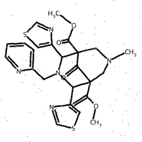 COC(=O)C12CN(C)CC(C(=O)OC)(C1=O)C(c1cscn1)N(Cc1ccccn1)C2c1cscn1